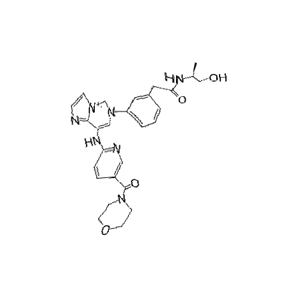 C[C@@H](CO)NC(=O)Cc1cccc(N2C=C(Nc3ccc(C(=O)N4CCOCC4)cn3)C3=NC=C[N+]3C2)c1